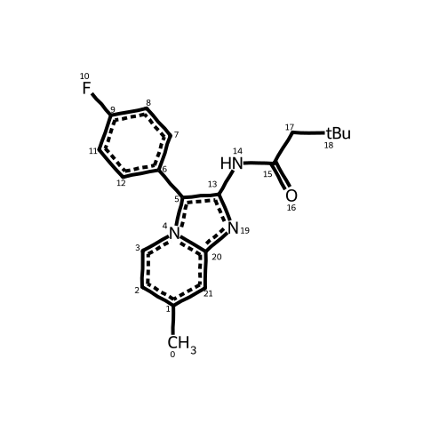 Cc1ccn2c(-c3ccc(F)cc3)c(NC(=O)CC(C)(C)C)nc2c1